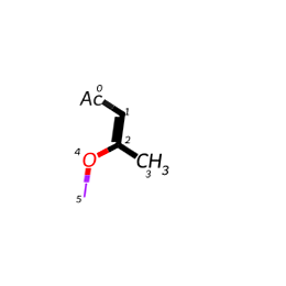 CC(=O)/C=C(/C)OI